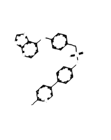 O=S(=O)(Cc1ccc(Oc2ccnc3ocnc23)cc1)Nc1ccc(-c2ccc(Cl)nc2)cc1